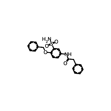 NS(=O)(=O)c1cc(NC(=O)Cc2ccccc2)ccc1OCc1ccccc1